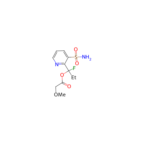 CCC(F)(OC(=O)COC)c1ncccc1S(N)(=O)=O